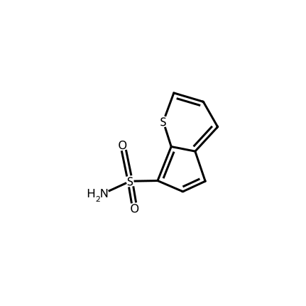 NS(=O)(=O)c1ccc2cccsc1-2